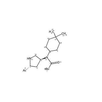 CC(=O)[C@H]1C[C@H](N(C(=O)C(C)(C)C)C2CCC(C)(C)CC2)CN1